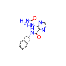 NC(=O)Nc1nccnc1C(=O)NC1Cc2ccccc2C1